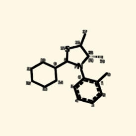 Cc1ccccc1N1C(C2CCCCC2)SC(C)[C@@H]1C